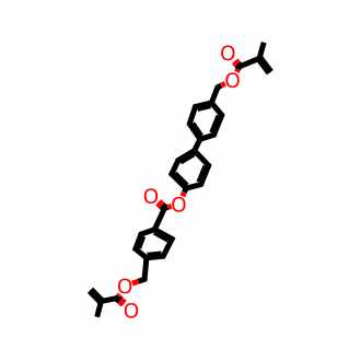 C=C(C)C(=O)OCc1ccc(C(=O)Oc2ccc(-c3ccc(COC(=O)C(=C)C)cc3)cc2)cc1